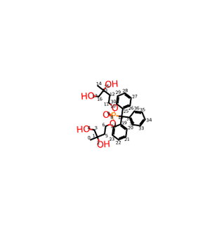 CC(O)(CO)CCOP(=O)(OCCC(C)(O)CO)C(c1ccccc1)(c1ccccc1)c1ccccc1